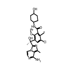 Cc1nc([C@@](C)(O)c2cc(Cl)c(F)c(C(=O)NC3CCC(O)CC3)c2OC(C)C)n2ccnc(N)c12